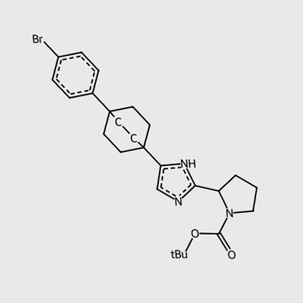 CC(C)(C)OC(=O)N1CCCC1c1ncc(C23CCC(c4ccc(Br)cc4)(CC2)CC3)[nH]1